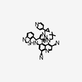 CC(C)(C)CNc1c(C#N)cnc2c(C#N)cc(N[C@H](c3cn(C4(c5ccncc5)CC4)nn3)c3cccc4ncsc34)cc12